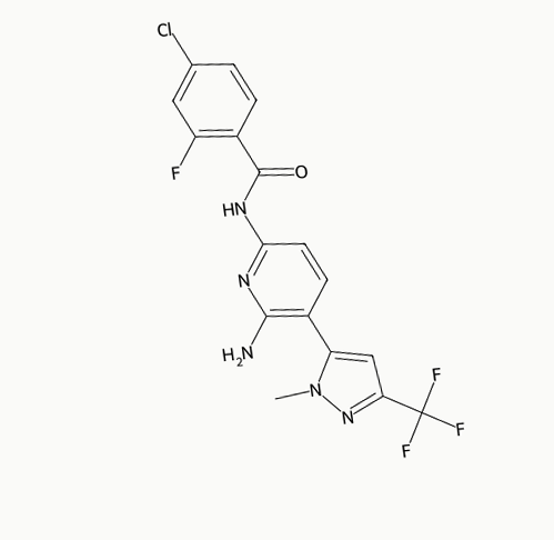 Cn1nc(C(F)(F)F)cc1-c1ccc(NC(=O)c2ccc(Cl)cc2F)nc1N